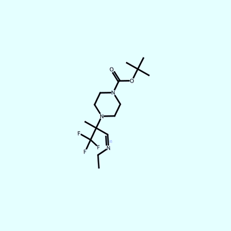 CC/N=C\C(C)(N1CCN(C(=O)OC(C)(C)C)CC1)C(F)(F)F